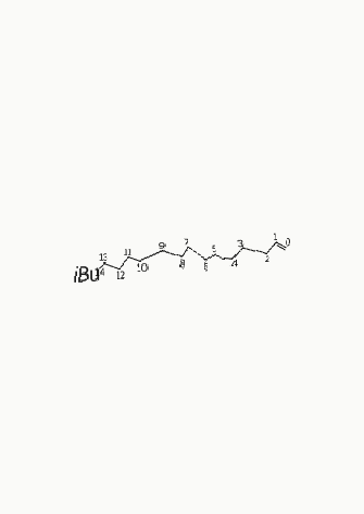 C=CCCCCCCCCCCCCC(C)CC